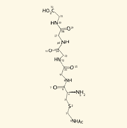 CC(=O)NCSC[C@H](N)C(=O)NCC(=O)NCC(=O)NCC(=O)NCC(=O)O